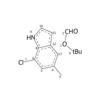 CC(C)(C)OC=O.Cc1cc(Cl)c2[nH]ccc2c1